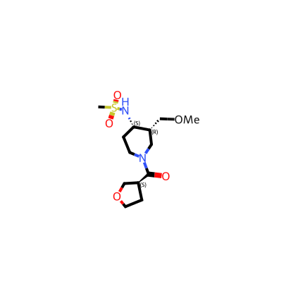 COC[C@@H]1CN(C(=O)[C@H]2CCOC2)CC[C@@H]1NS(C)(=O)=O